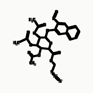 CC(=O)OC1C(Oc2cc3ccccc3cc2N=O)OC(C(=O)OCN=[N+]=[N-])C(OC(C)=O)C1OC(C)=O